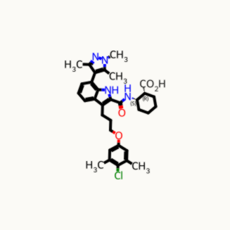 Cc1cc(OCCCc2c(C(=O)N[C@H]3CCCC[C@H]3C(=O)O)[nH]c3c(-c4c(C)nn(C)c4C)cccc23)cc(C)c1Cl